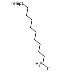 CCCCCCCCCCCCCCCC[SiH2]Cl